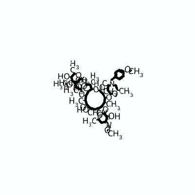 CO/N=C1\C[C@@H](C)O[C@@H](O[C@@H]2[C@@H](C)[C@H](O[C@H]3CC(C)N(Cc4ccc(OC)cc4)C[C@H](C)O3)[C@@H](C)C(=O)O[C@H]([C@@H](C)CO[C@@H]3O[C@H](C)[C@@H](O)[C@@H](OC)[C@H]3OC)[C@H](C)[C@@H](OC(=O)CC(C)C)[C@@H](C)C(=O)[C@@](C)(O)C[C@@H]2C)[C@@H]1O